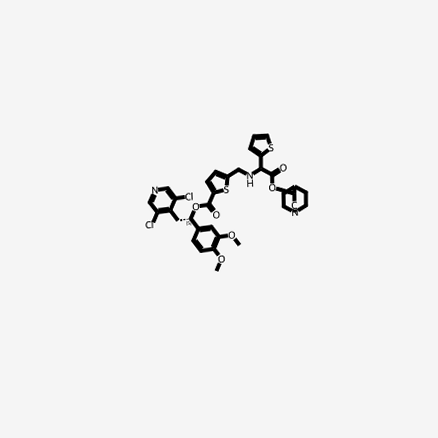 COc1ccc([C@H](Cc2c(Cl)cncc2Cl)OC(=O)c2ccc(CNC(C(=O)OC3CN4CCC3CC4)c3cccs3)s2)cc1OC